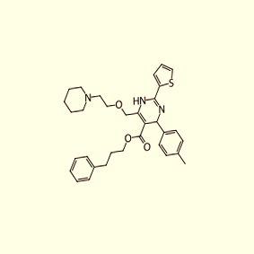 Cc1ccc(C2N=C(c3cccs3)NC(COCCN3CCCCC3)=C2C(=O)OCCCc2ccccc2)cc1